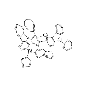 c1ccc(N(c2ccc3c(c2)C2(c4ccccc4-3)c3ccccc3-c3c2ccc2c3oc3c2ccc2c3c3ccccc3n2-c2ccccc2)c2ccc3ccccc3c2)cc1